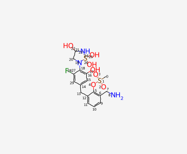 CS(=O)(=O)Oc1c(CN)cccc1Cc1cc(O)c(N2CC(O)NS2(O)O)c(F)c1